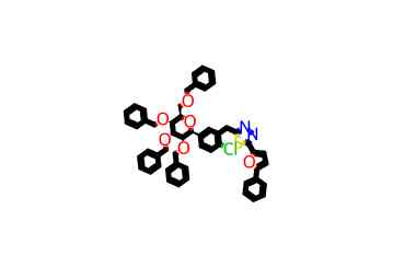 Clc1ccc([C@@H]2O[C@H](COCc3ccccc3)[C@@H](OCc3ccccc3)[C@H](OCc3ccccc3)[C@H]2OCc2ccccc2)cc1Cc1nnc(-c2ccc(-c3ccccc3)o2)s1